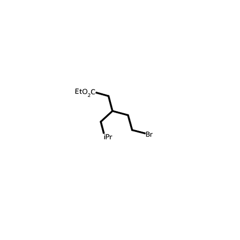 CCOC(=O)CC(CCBr)CC(C)C